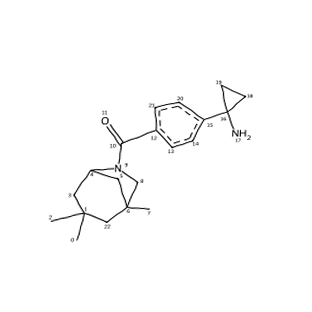 CC1(C)CC2CC(C)(CN2C(=O)c2ccc(C3(N)CC3)cc2)C1